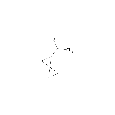 CC([O])C1CC12CC2